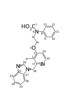 Cc1c(OCCN(C(=O)O)c2ccccc2)ccnc1Cn1cnc2ccccc21